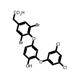 O=C(O)Cc1cc(Br)c(Oc2ccc(O)c(Oc3cc(Cl)cc(Cl)c3)c2)c(Br)c1